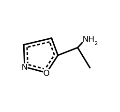 CC(N)c1ccno1